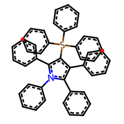 c1ccc(-c2c(S(c3ccccc3)(c3ccccc3)c3ccccc3)c(-c3ccccc3)n(-c3ccccc3)c2-c2ccccc2)cc1